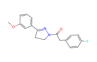 COc1cccc(C2=NN(C(=O)Cc3ccc(F)cc3)CC2)c1